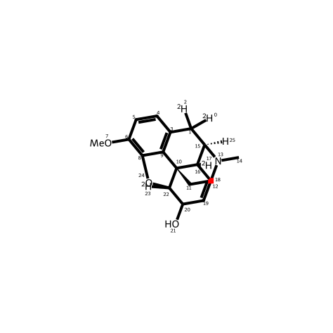 [2H]C1([2H])c2ccc(OC)c3c2[C@]24CCN(C)[C@H]1[C@]2([2H])C=CC(O)C4([2H])O3